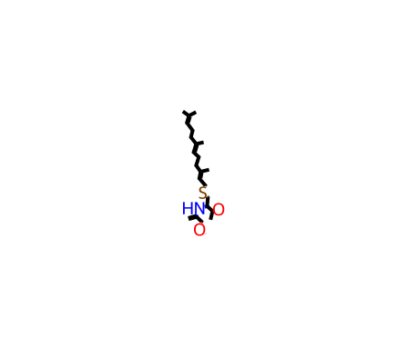 C=C(COC)NC(CSC/C=C(\C)CC/C=C(\C)CCC=C(C)C)C(C)=O